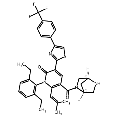 CCc1cccc(CC)c1-n1c(C=C(C)C)c(C(=O)N2C[C@@H]3C[C@H]2CN3)cc(-c2nc(-c3ccc(C(F)(F)F)cc3)cs2)c1=O